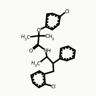 CC(NC(=O)C(C)(C)Oc1ccc(Cl)cc1)C(Cc1ccccc1Cl)c1ccccc1